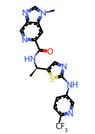 C[C@@H](NC(=O)c1cc2c(cn1)ncn2C)c1cnc(Nc2ccc(C(F)(F)F)nc2)s1